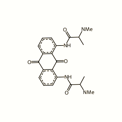 CNC(C)C(=O)Nc1cccc2c1C(=O)c1c(NC(=O)C(C)NC)cccc1C2=O